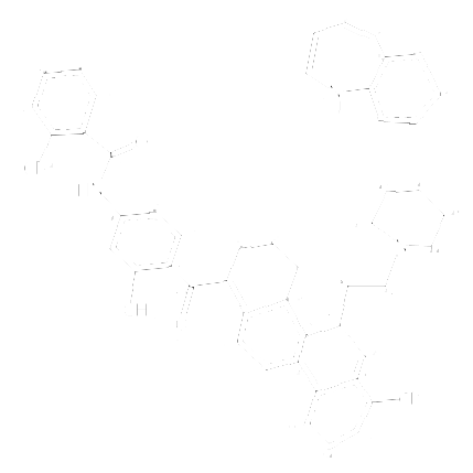 C1=CNc2ccccc2C=C1.Cc1cc(NC(=O)c2ccccc2Cl)ccc1C(=O)C1=c2ccc3c(c2CCC1)C(CCN1CCCCC1)C=c1c(Cl)cccc1=3